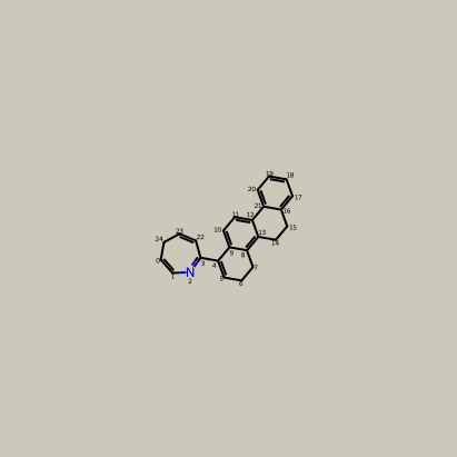 C1=CN=C(C2=CCCc3c2ccc2c3CCc3ccccc3-2)C=CC1